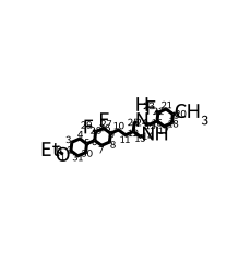 CCOC1CCC(C2CCC(CCC3CNC(C4CCC(C)CC4F)NC3)C(F)C2F)CC1